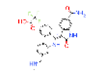 CNCc1cccc(N/C(=C2\C(=O)Nc3cc(C(N)=O)ccc32)c2ccccc2)c1.O=C(O)C(F)(F)F